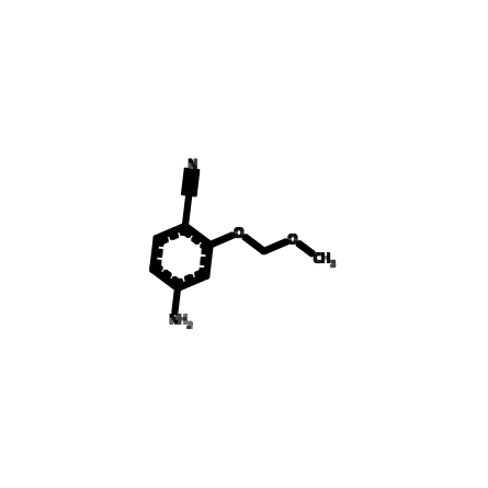 COCOc1cc(N)ccc1C#N